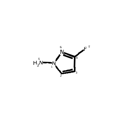 Nn1ccc(F)n1